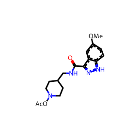 COc1ccc2[nH]nc(C(=O)NCC3CCN(OC(C)=O)CC3)c2c1